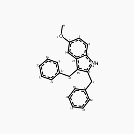 COc1ccc2[nH]c(Cc3ccccc3)c(Cc3ccccc3)c2c1